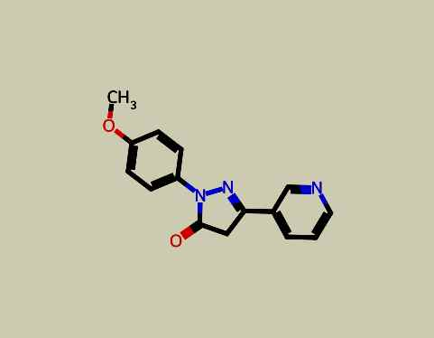 COc1ccc(N2N=C(c3cccnc3)CC2=O)cc1